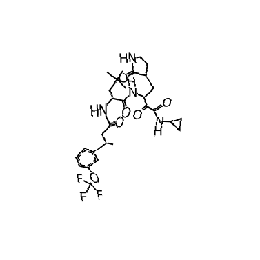 CC(CC(=O)N[C@@H](CC(C)(C)C)C(=O)NC(CC1CCNC1=O)C(=O)C(=O)NC1CC1)c1cccc(OC(F)(F)F)c1